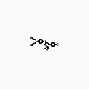 CCCCN(CCCC)c1ccc(OC(CCc2ccc(Cl)cc2)Cn2ccnc2)cc1